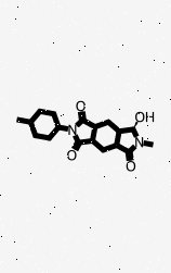 CC1CCC(N2C(=O)C3CC4C(=O)N(C)[C@@H](O)C4CC3C2=O)CC1